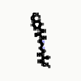 CNC(=S)N/N=C/C=N/NC(=S)Nc1ccc(OC)cc1